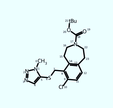 Cn1nncc1SCc1c(Cl)ccc2c1CCN(C(=O)OC(C)(C)C)CC2